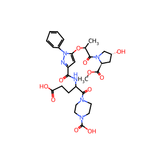 COC(=O)[C@@H]1C[C@@H](O)CN1C(=O)C(C)Oc1cc(C(=O)NC(CCC(=O)O)C(=O)N2CCN(C(=O)O)CC2)nn1-c1ccccc1